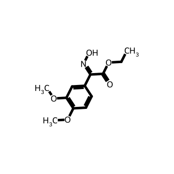 CCOC(=O)C(=NO)c1ccc(OC)c(OC)c1